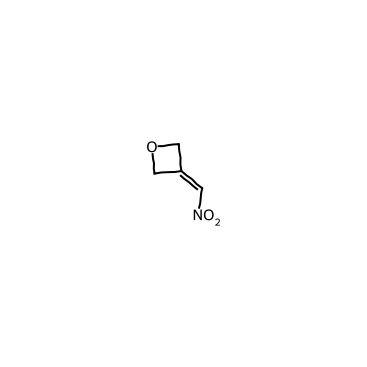 O=[N+]([O-])C=C1COC1